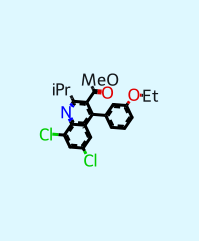 CCOc1cccc(-c2c(C(=O)OC)c(C(C)C)nc3c(Cl)cc(Cl)cc23)c1